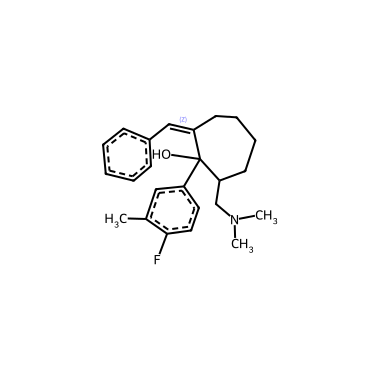 Cc1cc(C2(O)/C(=C\c3ccccc3)CCCCC2CN(C)C)ccc1F